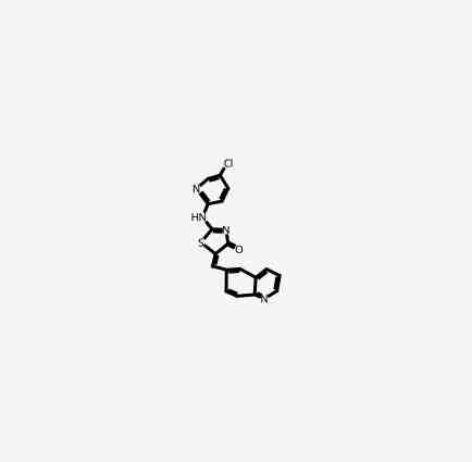 O=C1N=C(Nc2ccc(Cl)cn2)SC1=Cc1ccc2ncccc2c1